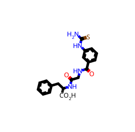 NC(=S)Nc1cccc(C(=O)NCC(=O)NC(Cc2ccccc2)C(=O)O)c1